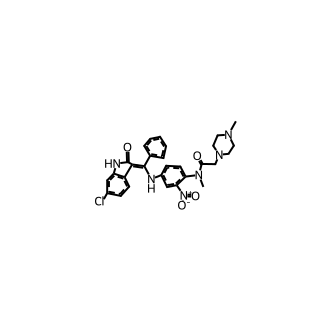 CN1CCN(CC(=O)N(C)c2ccc(NC(=C3C(=O)Nc4cc(Cl)ccc43)c3ccccc3)cc2[N+](=O)[O-])CC1